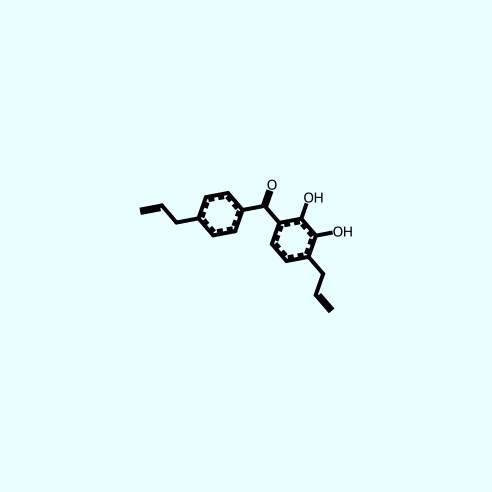 C=CCc1ccc(C(=O)c2ccc(CC=C)c(O)c2O)cc1